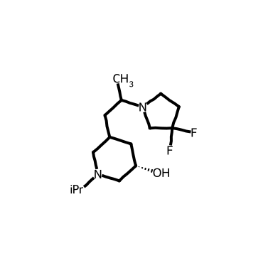 CC(C)N1CC(CC(C)N2CCC(F)(F)C2)C[C@H](O)C1